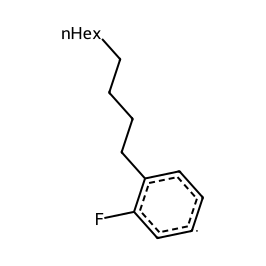 CCCCCCCCCCc1cc[c]cc1F